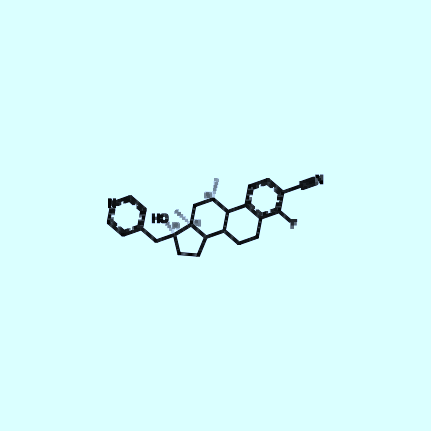 C[C@H]1C[C@@]2(C)C(CC[C@@]2(O)Cc2ccncc2)C2CCc3c(ccc(C#N)c3F)C21